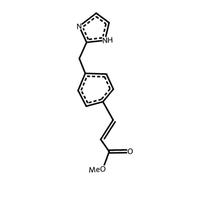 COC(=O)C=Cc1ccc(Cc2ncc[nH]2)cc1